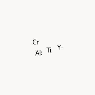 [Al].[Cr].[Ti].[Y]